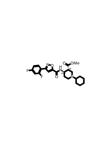 COC(=O)[C@@H]1CN(C2CCCCC2)CC[C@H]1NC(=O)c1cc(-c2ccc(F)cc2F)no1